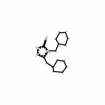 O=c1onc(CC2CCCCC2)n1CC1CCCCC1